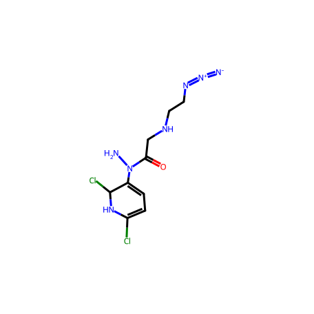 [N-]=[N+]=NCCNCC(=O)N(N)C1=CC=C(Cl)NC1Cl